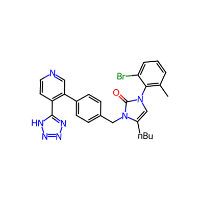 CCCCc1cn(-c2c(C)cccc2Br)c(=O)n1Cc1ccc(-c2cnccc2-c2nnn[nH]2)cc1